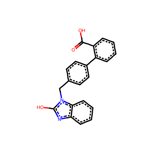 O=C(O)c1ccccc1-c1ccc(Cn2c(O)nc3ccccc32)cc1